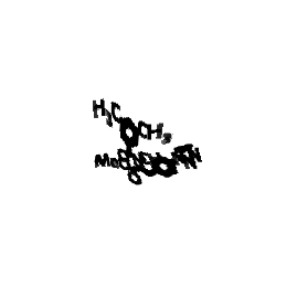 COC(=O)C(=Cc1ccc(-n2ccnn2)cc1)N(C)C(=O)c1cc(C)cc(C)c1